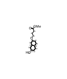 COC(=O)CCCOc1ccc2ccc(O)cc2c1